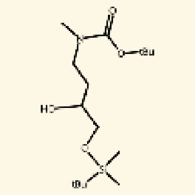 CN(CCC(O)CO[Si](C)(C)C(C)(C)C)C(=O)OC(C)(C)C